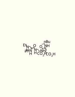 CCCCC(C)N[C@@H](CCC(=O)O)C(=O)NC(CNC(=O)[C@H](CNCC)NC(C)C)C(=O)O